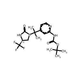 CC(C)(C)OC(=O)Nc1cc(C(C)(C)N2C[C@@H](C(F)(F)F)NC2=O)ccn1